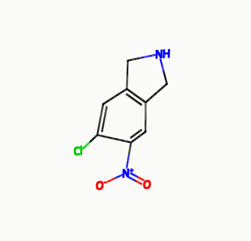 O=[N+]([O-])c1cc2c(cc1Cl)CNC2